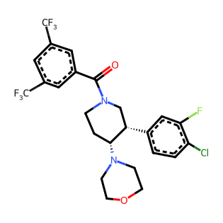 O=C(c1cc(C(F)(F)F)cc(C(F)(F)F)c1)N1CC[C@@H](N2CCOCC2)[C@@H](c2ccc(Cl)c(F)c2)C1